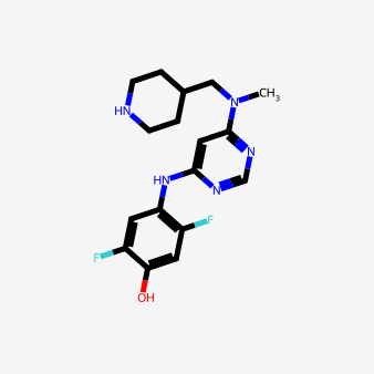 CN(CC1CCNCC1)c1cc(Nc2cc(F)c(O)cc2F)ncn1